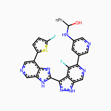 CCCC(O)Nc1cncc(-c2ncc3[nH]nc(-c4nc5c(-c6ccc(F)s6)cncc5[nH]4)c3c2F)c1